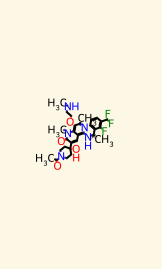 CNCCOc1c(C)nc(N[C@H](C)c2cccc(C(F)F)c2F)c2cc(C3(O)CCN(C(C)=O)CC3)c(=O)n(C)c12